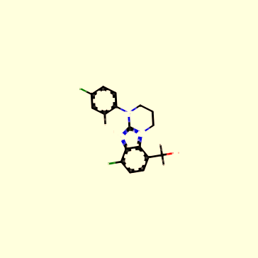 CCC(O)(CC)c1ccc(Cl)c2nc3n(c12)CCCN3c1ccc(Cl)cc1C(F)(F)F